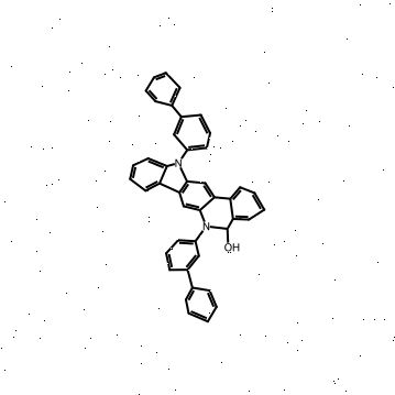 OC1c2ccccc2-c2cc3c(cc2N1c1cccc(-c2ccccc2)c1)c1ccccc1n3-c1cccc(-c2ccccc2)c1